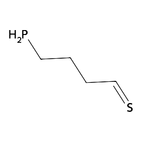 PCCCC=S